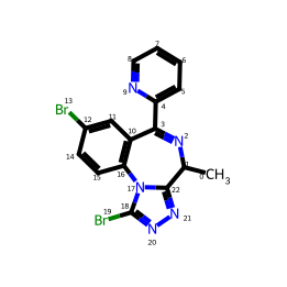 CC1N=C(c2ccccn2)c2cc(Br)ccc2-n2c(Br)nnc21